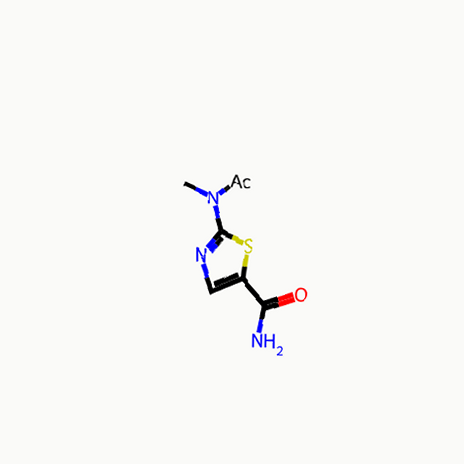 CC(=O)N(C)c1ncc(C(N)=O)s1